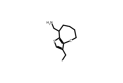 NCC1CCCCCc2c(CI)csc21